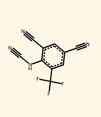 N#CNc1c(C#N)cc(C#N)cc1C(F)(F)F